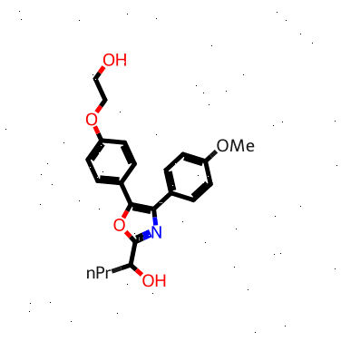 CCCC(O)c1nc(-c2ccc(OC)cc2)c(-c2ccc(OCCO)cc2)o1